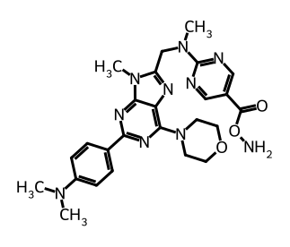 CN(C)c1ccc(-c2nc(N3CCOCC3)c3nc(CN(C)c4ncc(C(=O)ON)cn4)n(C)c3n2)cc1